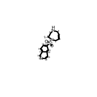 C[C@@H]1CNCC=CCN1S(=O)(=O)c1ccc2cnccc2c1